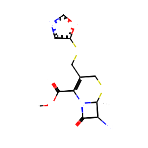 CC(C)(C)OC(=O)C1=C(CSc2cnco2)CS[C@H]2C(N)C(=O)N12